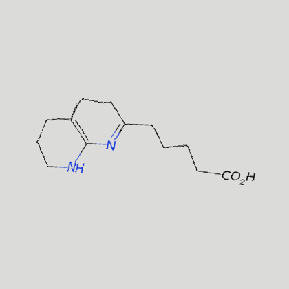 O=C(O)CCCCC1=NC2=C(CCCN2)CC1